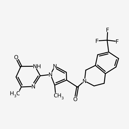 Cc1cc(=O)[nH]c(-n2ncc(C(=O)N3CCc4ccc(C(F)(F)F)cc4C3)c2C)n1